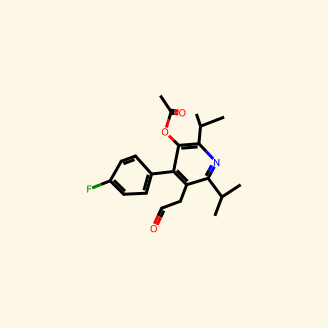 CC(=O)Oc1c(C(C)C)nc(C(C)C)c(CC=O)c1-c1ccc(F)cc1